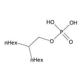 CCCCCCC(CCCCCC)COP(=O)(O)O